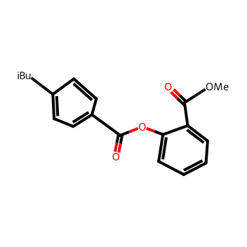 CCC(C)c1ccc(C(=O)Oc2ccccc2C(=O)OC)cc1